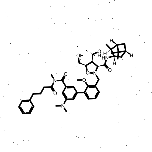 COc1c(CN2O[C@@H](CO)[C@@H]([C@H](C)O)[C@H]2C(=O)N[C@H]2C[C@H]3C[C@@H]([C@@H]2C)C3(C)C)cccc1-c1cc(C(=O)N(C)C(=O)CCCc2ccccc2)cc(N(C)C)c1